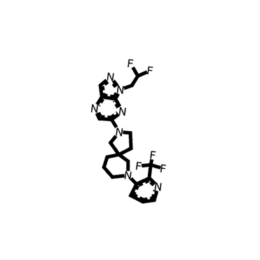 FC(F)Cn1ncc2ncc(N3CCC4(CCCN(c5cccnc5C(F)(F)F)C4)C3)nc21